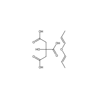 CC=COC=CC.O=C(O)CC(O)(CC(=O)O)C(=O)O